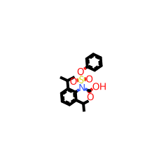 CC(C)c1cccc(C(C)C)c1N(C(=O)O)S(=O)(=O)Oc1ccccc1